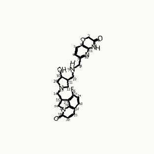 O=C1COc2ccc(CNCC3CN(CC4Cn5c(=O)ccc6ccc(F)c4c65)CC3O)nc2N1